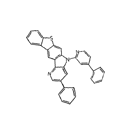 c1ccc(-c2ccnc(-n3c4cc5sc6ccccc6c5cc4c4ncc(-c5ccccc5)cc43)c2)cc1